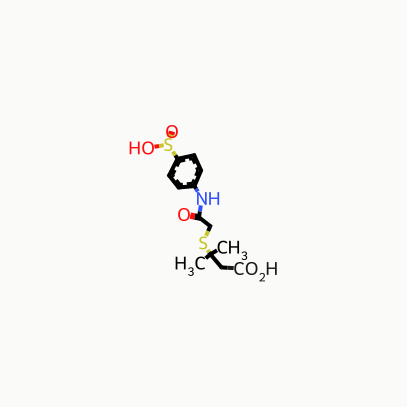 CC(C)(CC(=O)O)SCC(=O)Nc1ccc(S(=O)O)cc1